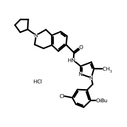 Cc1cc(NC(=O)c2ccc3c(c2)CCN(C2CCCC2)C3)nn1Cc1cc(Cl)ccc1OCC(C)C.Cl